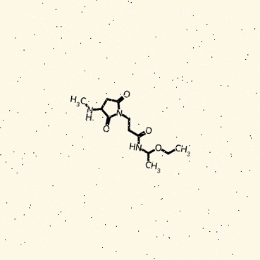 CCOC(C)NC(=O)CCN1C(=O)CC(NC)C1=O